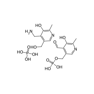 Cc1ncc(CO)c(CN)c1O.Cc1ncc(COP(=O)(O)O)c(C=O)c1O.O=P(O)(O)O